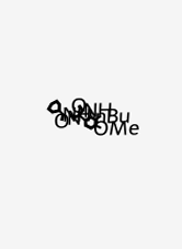 CCCCc1c(OC)ccc2c1NC(=O)/C2=N\NC(=O)c1ccccc1